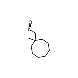 CC1(CN=O)CCCCCCC1